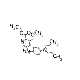 C=CCN(CC=C)c1ccc2[nH]c3cnc(C(=O)OCC)c(COC)c3c2c1